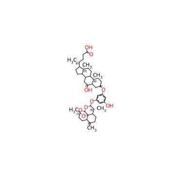 C[C@H]1C(Oc2cc(O)cc(O[C@@H]3CC[C@]4(C)C5CC[C@@]6(C)C(CCC6[C@H](C)CCC(=O)O)C5C[C@H](O)C4C3)c2)OC2O[C@@]3(C)CCC4[C@H](C)CCC1C24O3